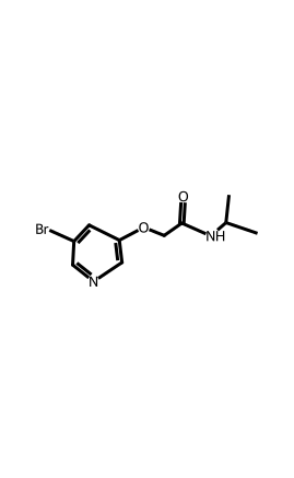 CC(C)NC(=O)COc1cncc(Br)c1